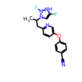 CC(Cc1ccc(Oc2ccc(C#N)cc2)cn1)N1C=C(F)NN1F